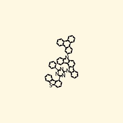 c1ccc(-c2nc(-c3cccc4sc5ccccc5c34)nc(-n3c4ccccc4c4ccc5c(c6ccccc6n5-c5ccc6c7ccccc7c7ccccc7c6c5)c43)n2)cc1